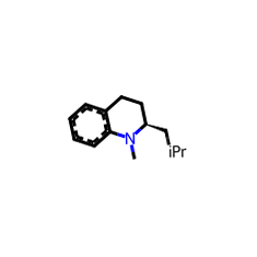 CC(C)C[C@@H]1CCc2ccccc2N1C